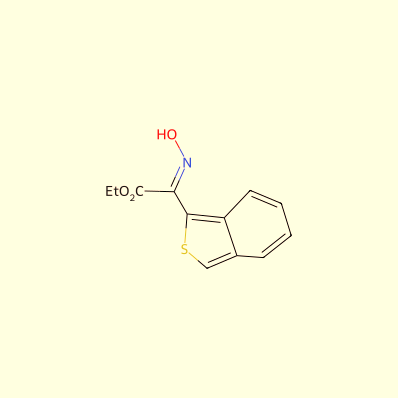 CCOC(=O)C(=NO)c1scc2ccccc12